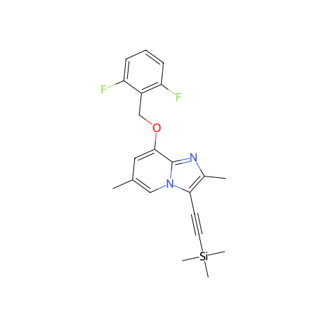 Cc1cc(OCc2c(F)cccc2F)c2nc(C)c(C#C[Si](C)(C)C)n2c1